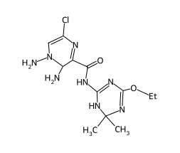 CCOC1=NC(C)(C)NC(NC(=O)C2=NC(Cl)=CN(N)C2N)=N1